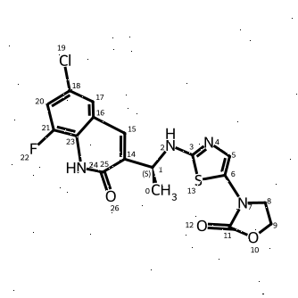 C[C@H](Nc1ncc(N2CCOC2=O)s1)c1cc2cc(Cl)cc(F)c2[nH]c1=O